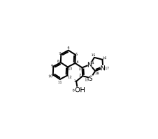 OCC1=C(c2cccc3ccccc23)N2CCN=C2S1